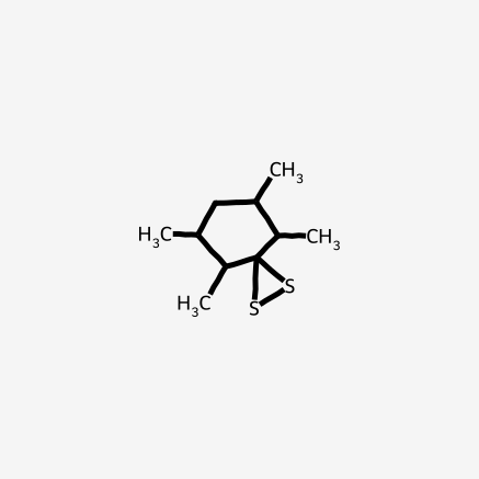 CC1CC(C)C(C)C2(SS2)C1C